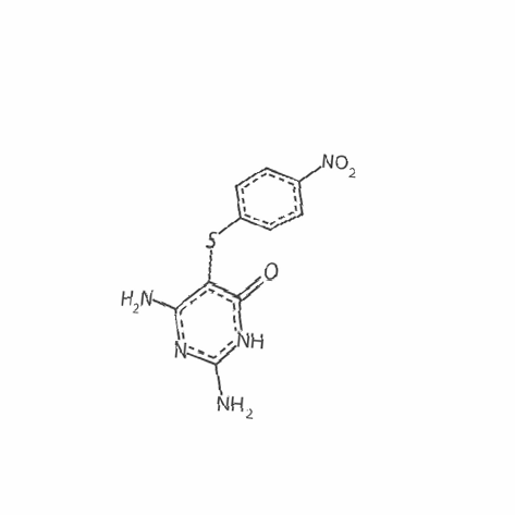 Nc1nc(N)c(Sc2ccc([N+](=O)[O-])cc2)c(=O)[nH]1